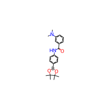 CN(C)c1cccc(C(=O)Nc2ccc(B3OC(C)(C)C(C)(C)O3)cc2)c1